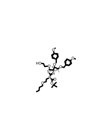 CCCCOCCN(C(=O)OC(C)(C)C)C1=N[C@H]([C@@H](OCc2ccc(OC)cc2)[C@@H](C)OCc2ccc(OC)cc2)[C@H](OCCO)S1